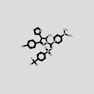 CC1C(c2cccs2)C(c2ccc(Cl)cc2)=NN1/C(=N\S(=O)(=O)c1ccc(C(F)(F)F)cc1)[n+]1ccc(N(C)C)cc1